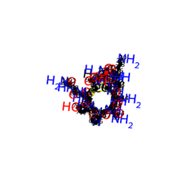 CC(C)(C)OC(=O)N[C@@H](CC1CSC[C@@H](C(=O)N2CCC[C@H]2C(=O)N[C@@H](CCCCN)C(=O)NCC(N)=O)NC(=O)[C@H](CC(N)=O)NC(=O)[C@H](CCC(N)=O)NC(=O)[C@H](Cc2ccccc2)NC(=O)[C@H](Cc2ccc(O)cc2)NC(=O)[C@@H](NC(=O)CNC(=O)CNC(=O)CN)CS1)C(=O)O